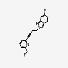 FCc1cccc(C#CCCn2cc3ccc(F)cc3n2)n1